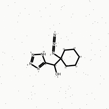 [N-]=[N+]=NC1(C(O)c2nnn[nH]2)CCCCC1